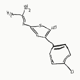 Cl.NC(N)=Nc1nc(-c2ccc(Cl)cc2)cs1